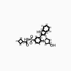 O=C(NS(=O)(=O)c1ccc(N2CCC(O)C2)c(-c2cc3ccccc3[nH]2)c1)C1CCC1